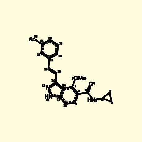 COc1c(C(=O)NC2CC2)ccc2[nH]nc(C=Cc3cccc(C(C)=O)c3)c12